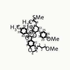 COCCCN1CCOc2ccc(C(O[C@H]3CN[C@@H](CC(C)SC)C[C@@H]3c3ccc(OC)cc3)S(=O)(=O)c3ccc(C)cc3)cc21